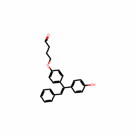 O=CCCCOc1ccc(/C(=C\c2ccccc2)c2ccc(O)cc2)cc1